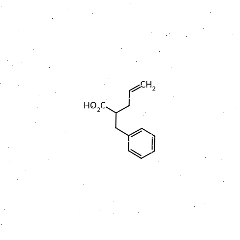 C=CCC(Cc1ccccc1)C(=O)O